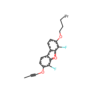 CC#COc1ccc2c(oc3c(F)c(OCCCC(C)C)ccc32)c1F